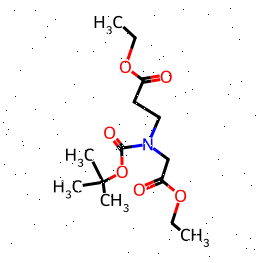 CCOC(=O)CCN(CC(=O)OCC)C(=O)OC(C)(C)C